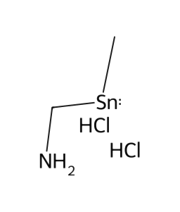 Cl.Cl.[CH3][Sn][CH2]N